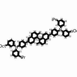 CCCCCCCCc1cccc(N(c2ccc(-c3ccc4c(-c5c(C)ccc6cc(-c7ccc(N(c8cccc(CCCCCCCC)c8)c8cccc(C(C)C)c8)cc7)ccc56)c(C)ccc4c3)cc2)c2cccc(C(C)C)c2)c1